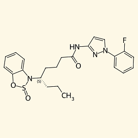 CCC[C@@H](CCCC(=O)Nc1ccn(-c2ccccc2F)n1)N1c2ccccc2OS1=O